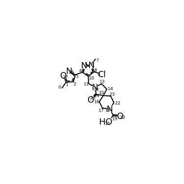 Cc1cc(-c2nn(C)c(Cl)c2CN2CCC3(CCN(C(=O)O)CC3)C2=O)no1